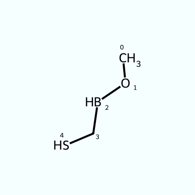 COBCS